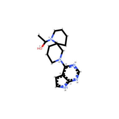 CC(O)N1CCCCC12CCCN(c1ncnc3[nH]ccc13)C2